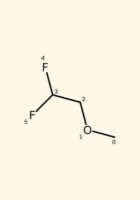 COCC(F)F